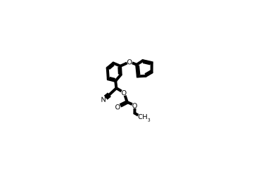 CCOC(=O)OC(C#N)c1cccc(Oc2ccccc2)c1